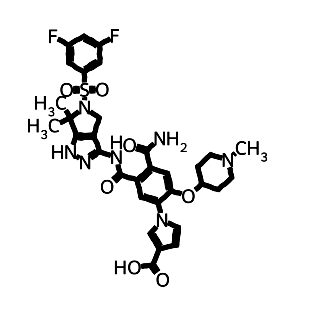 CN1CCC(Oc2cc(C(N)=O)c(C(=O)Nc3n[nH]c4c3CN(S(=O)(=O)c3cc(F)cc(F)c3)C4(C)C)cc2-n2ccc(C(=O)O)c2)CC1